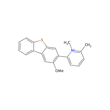 COc1cc2c(cc1-c1cccc(C)[n+]1C)sc1ccccc12